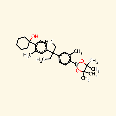 CCC(CC)(c1ccc(B2OC(C)(C)C(C)(C)O2)c(C)c1)c1ccc(C2(O)CCCCC2)c(C)c1